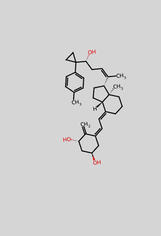 C=C1/C(=C\C=C2/CCC[C@]3(C)[C@@H](/C(C)=C\C[C@@H](O)C4(c5ccc(C)cc5)CC4)CC[C@@H]23)C[C@@H](O)C[C@@H]1O